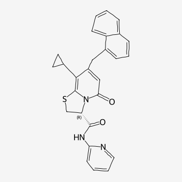 O=C(Nc1ccccn1)[C@@H]1CSc2c(C3CC3)c(Cc3cccc4ccccc34)cc(=O)n21